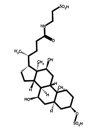 C[C@H](CCC(=O)NCCS(=O)(=O)O)[C@H]1CC[C@H]2[C@@H]3[C@H](O)C[C@@H]4C[C@H](OS(=O)(=O)O)CC[C@]4(C)[C@H]3C[C@H](O)[C@]12C